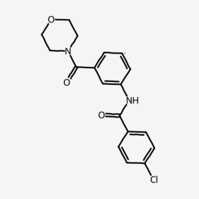 O=C(Nc1c[c]cc(C(=O)N2CCOCC2)c1)c1ccc(Cl)cc1